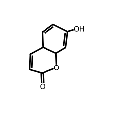 O=C1C=CC2C=CC(O)=CC2O1